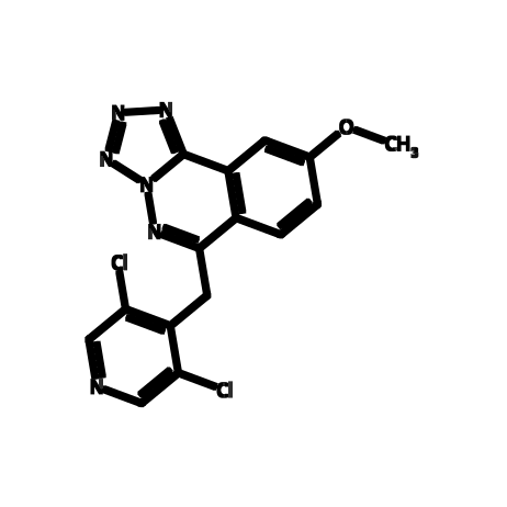 COc1ccc2c(Cc3c(Cl)cncc3Cl)nn3nnnc3c2c1